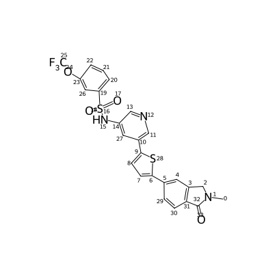 CN1Cc2cc(-c3ccc(-c4cncc(NS(=O)(=O)c5cccc(OC(F)(F)F)c5)c4)s3)ccc2C1=O